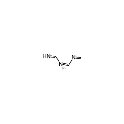 C=N/C=N\C=N